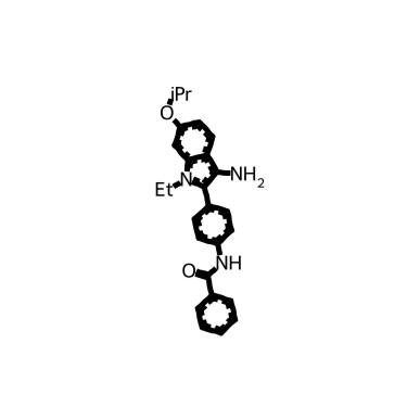 CCn1c(-c2ccc(NC(=O)c3ccccc3)cc2)c(N)c2ccc(OC(C)C)cc21